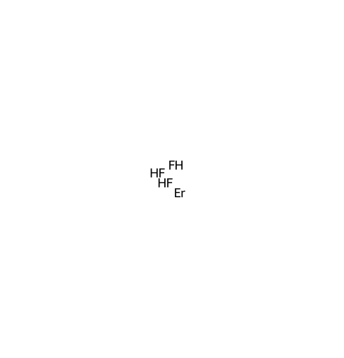 F.F.F.[Er]